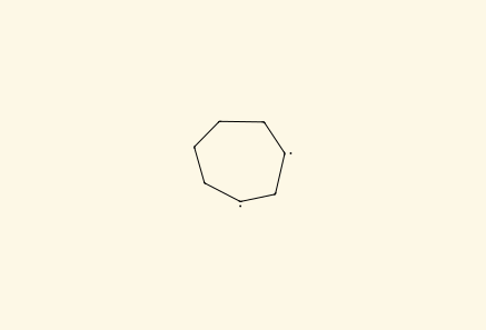 [CH]1C[CH]CCCC1